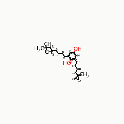 CC(C)(C)CCCCCCc1cc(O)cc(CCCCC2(C)CC2)c1O